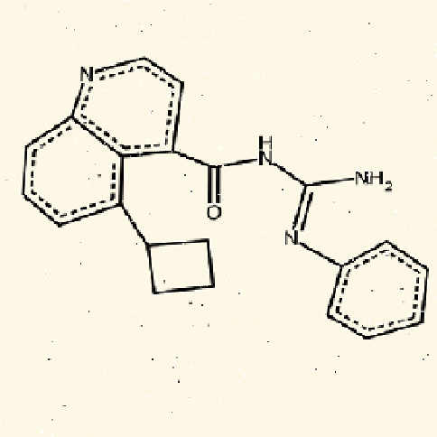 NC(=Nc1ccccc1)NC(=O)c1ccnc2cccc(C3CCC3)c12